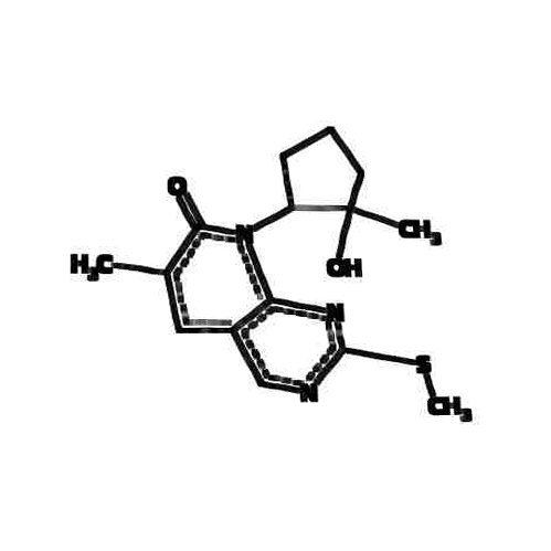 CSc1ncc2cc(C)c(=O)n(C3CCCC3(C)O)c2n1